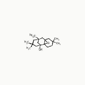 CC1(C)CC2(C)CC(O)(C1)C13CCC(C)(C)CC1(C2)O3